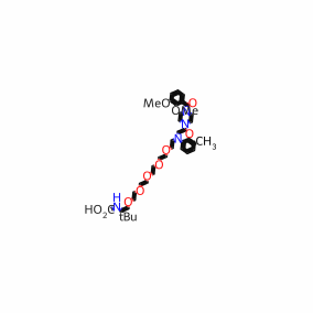 COc1cccc(C(=O)N2CCN(C(=O)CN(CCOCCOCCOCCOCCOCC(NC(=O)O)C(C)(C)C)c3cccc(C)c3)CC2)c1OC